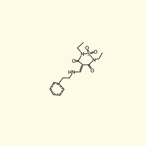 CCN1C(=O)C(=CNCCc2ccccc2)C(=O)N(CC)S1(=O)=O